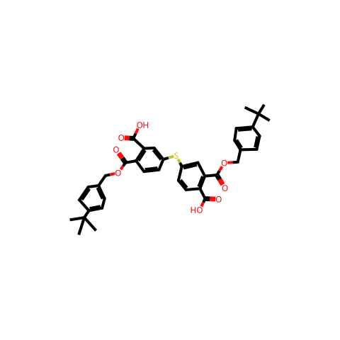 CC(C)(C)c1ccc(COC(=O)c2ccc(Sc3ccc(C(=O)O)c(C(=O)OCc4ccc(C(C)(C)C)cc4)c3)cc2C(=O)O)cc1